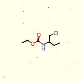 CCOC(=O)NC(CC)CCl